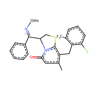 CO/N=C(/c1ccccc1)C1CSc2c(Cc3c(F)cccc3C(F)(F)F)c(C)cc(=O)n21